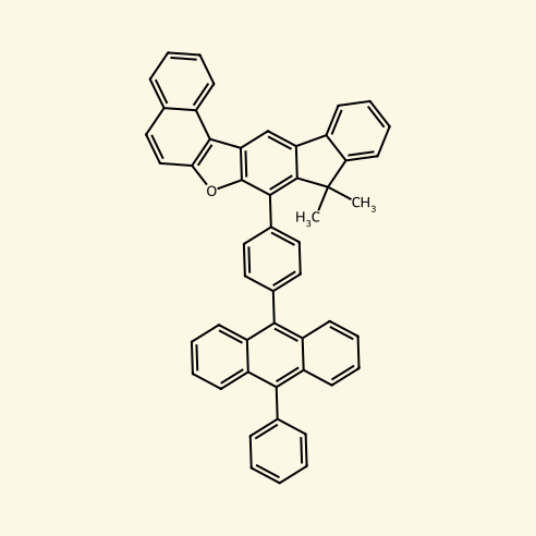 CC1(C)c2ccccc2-c2cc3c(oc4ccc5ccccc5c43)c(-c3ccc(-c4c5ccccc5c(-c5ccccc5)c5ccccc45)cc3)c21